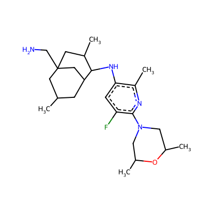 Cc1nc(N2CC(C)OC(C)C2)c(F)cc1NC1C(C)CC2(CN)CC(C)CC1C2